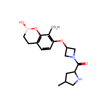 CC1CNC(C(=O)N2CC(Oc3ccc4c(c3C(=O)O)OB(O)CC4)C2)C1